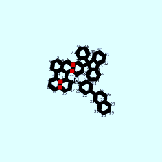 c1ccc(-c2cccc3cccc(-c4ccccc4N(c4ccc(-c5ccc6ccccc6c5)cc4)c4cccc(C5(c6ccccc6)c6ccccc6-c6ccccc65)c4)c23)cc1